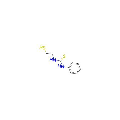 S=C(NCCS)Nc1ccccc1